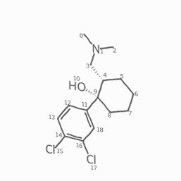 CN(C)C[C@@H]1CCCC[C@@]1(O)c1ccc(Cl)c(Cl)c1